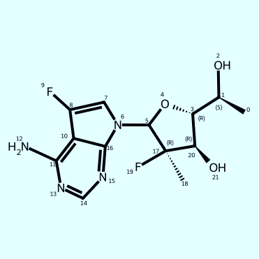 C[C@H](O)[C@H]1OC(n2cc(F)c3c(N)ncnc32)[C@](C)(F)[C@@H]1O